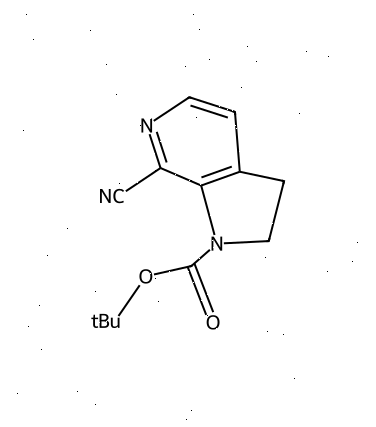 CC(C)(C)OC(=O)N1CCc2ccnc(C#N)c21